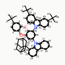 CC(C)(C)c1ccc2c(c1)B1c3c(cc(-n4c5ccccc5c5cccc(C67CC8CC(CC(C8)C6)C7)c54)cc3-n3c4ccc(C(C)(C)C)cc4c4cc(C(C)(C)C)cc1c43)O2